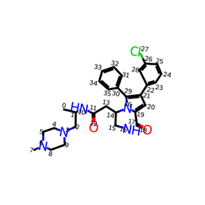 CC(CN1CCN(C)CC1)NC(=O)CC1CNC(=O)c2cc(-c3cccc(Cl)c3)c(-c3ccccc3)n21